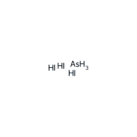 I.I.I.[AsH3]